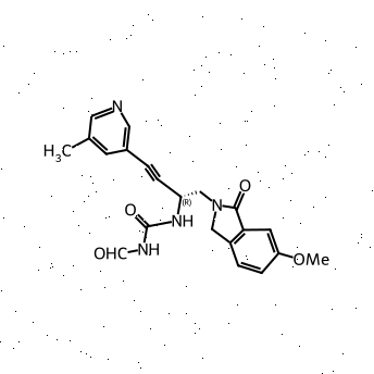 COc1ccc2c(c1)C(=O)N(C[C@@H](C#Cc1cncc(C)c1)NC(=O)NC=O)C2